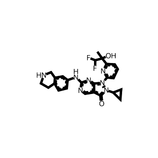 CC(O)(c1cccc(-n2c3nc(Nc4ccc5c(c4)CNCC5)ncc3c(=O)n2C2CC2)n1)C(F)F